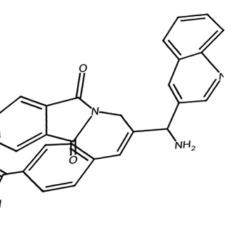 NC(/C(=C/c1ccc(C(=O)O)cc1)CN1C(=O)c2ccccc2C1=O)c1cnc2ccccc2c1